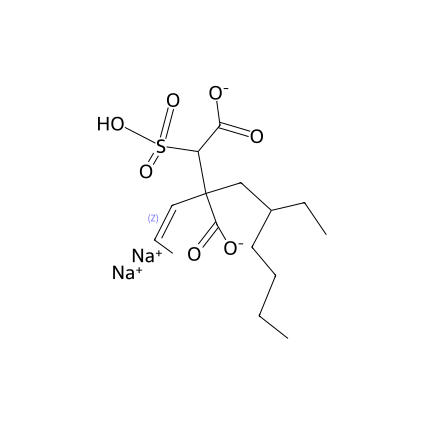 C/C=C\C(CC(CC)CCCC)(C(=O)[O-])C(C(=O)[O-])S(=O)(=O)O.[Na+].[Na+]